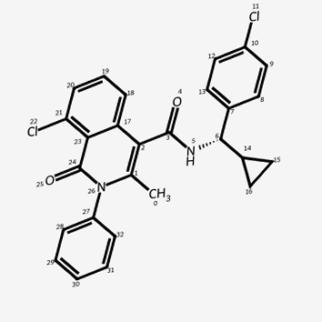 Cc1c(C(=O)N[C@H](c2ccc(Cl)cc2)C2CC2)c2cccc(Cl)c2c(=O)n1-c1ccccc1